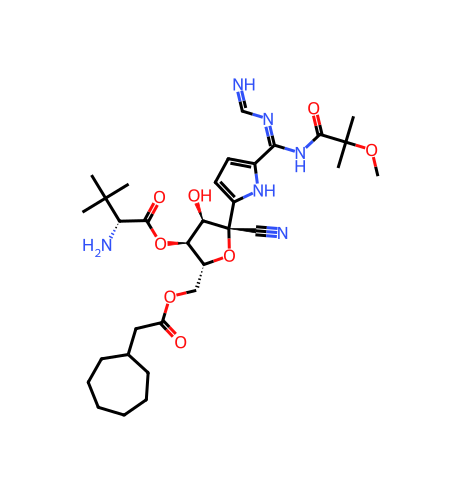 COC(C)(C)C(=O)N/C(=N/C=N)c1ccc([C@]2(C#N)O[C@H](COC(=O)CC3CCCCCC3)[C@@H](OC(=O)[C@H](N)C(C)(C)C)[C@H]2O)[nH]1